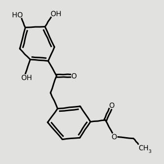 CCOC(=O)c1cccc(CC(=O)c2cc(O)c(O)cc2O)c1